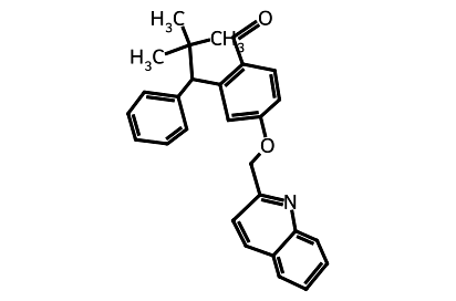 CC(C)(C)C(c1ccccc1)c1cc(OCc2ccc3ccccc3n2)ccc1C=O